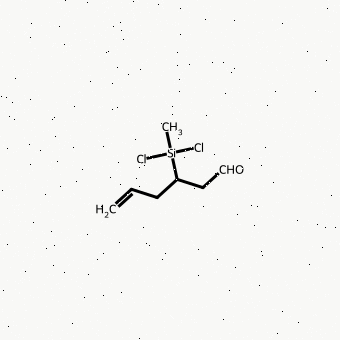 C=CCC(CC=O)[Si](C)(Cl)Cl